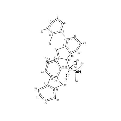 CCC1=Cc2c(-c3cccc(C)c3C)cccc2[CH]1[Zr]([Cl])([Cl])([c]1cccc2c1Cc1ccccc1-2)[SiH](C)C